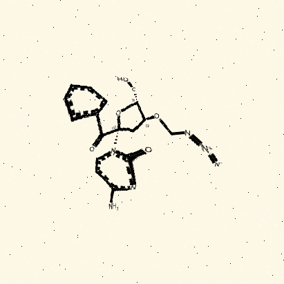 [N-]=[N+]=NCO[C@H]1C[C@](C(=O)c2ccccc2)(n2ccc(N)nc2=O)O[C@@H]1CO